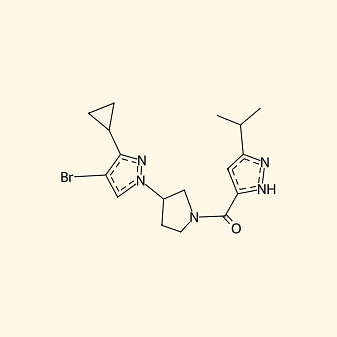 CC(C)c1cc(C(=O)N2CCC(n3cc(Br)c(C4CC4)n3)C2)[nH]n1